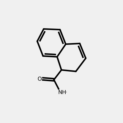 [NH]C(=O)C1CC=Cc2ccccc21